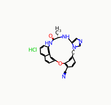 C[C@@H]1NCc2cncn2Cc2ccc(C#N)c(c2)Oc2ccc3cccc(c3c2)NC1=O.Cl